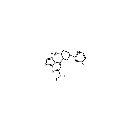 C[C@@H]1CCN(c2cc(I)ccn2)C[C@H]1c1cc(C(F)F)nc2ncnn12